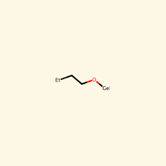 CCCC[O][Ge]